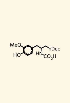 CCCCCCCCCCCC(Cc1ccc(O)c(OC)c1)NC(=O)O